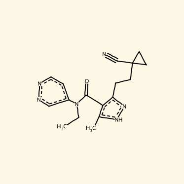 CCN(C(=O)c1c(CCC2(C#N)CC2)n[nH]c1C)c1ccnnc1